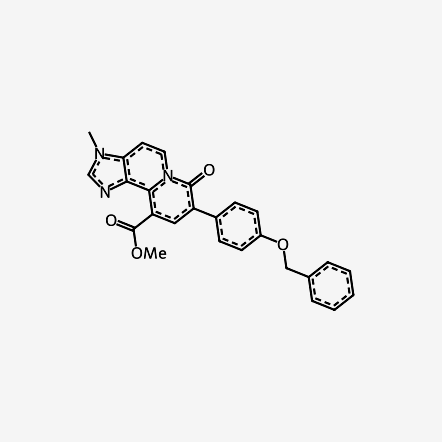 COC(=O)c1cc(-c2ccc(OCc3ccccc3)cc2)c(=O)n2ccc3c(ncn3C)c12